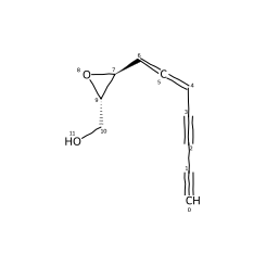 C#CC#CC=C=C[C@@H]1O[C@H]1CO